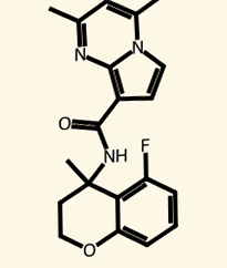 Cc1cc(C)n2ccc(C(=O)NC3(C)CCOc4cccc(F)c43)c2n1